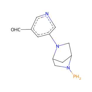 O=Cc1cncc(N2CC3CC2CN3P)c1